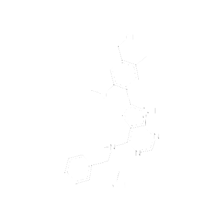 COc1cc(CO)c(C)cc1-c1cc2c(N[C@H](CO)c3ccccc3)ncnc2[nH]1